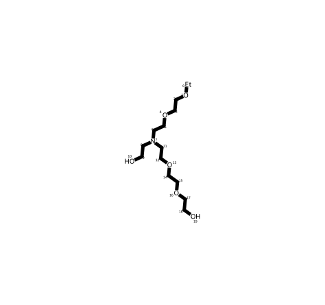 CCOCCOCCN(CCO)CCOCCOCCO